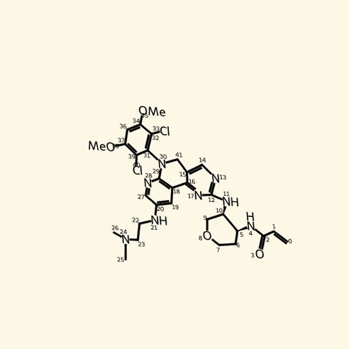 C=CC(=O)N[C@H]1CCOC[C@H]1Nc1ncc2c(n1)-c1cc(NCCN(C)C)cnc1N(c1c(Cl)c(OC)cc(OC)c1Cl)C2